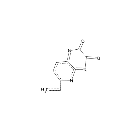 C=Cc1ccc2c(n1)=NC(=O)C(=O)N=2